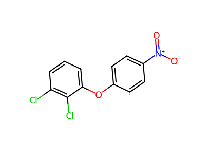 O=[N+]([O-])c1c[c]c(Oc2cccc(Cl)c2Cl)cc1